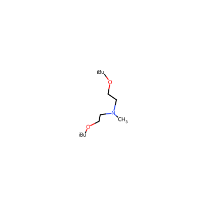 CCC(C)OCCN(C)CCOC(C)CC